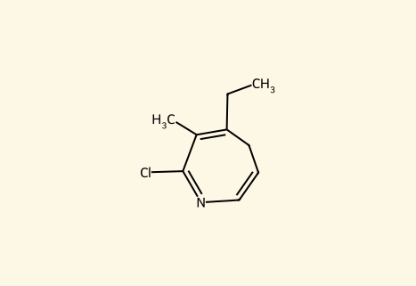 CCC1=C(C)C(Cl)=NC=CC1